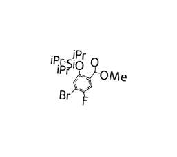 COC(=O)c1cc(F)c(Br)cc1O[Si](C(C)C)(C(C)C)C(C)C